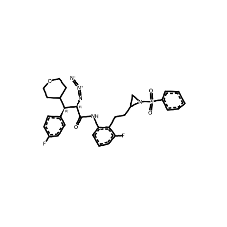 [N-]=[N+]=N[C@@H](C(=O)Nc1cccc(F)c1CCC1CN1S(=O)(=O)c1ccccc1)[C@@H](c1ccc(F)cc1)C1CCOCC1